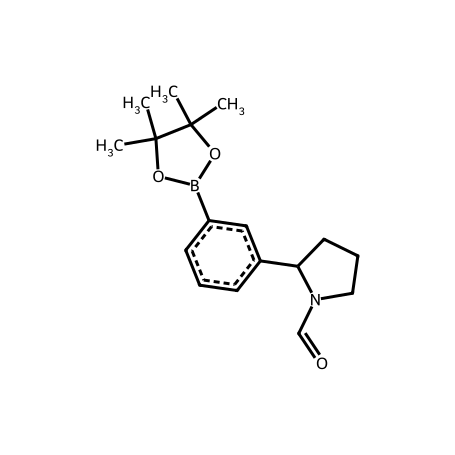 CC1(C)OB(c2cccc(C3CCCN3C=O)c2)OC1(C)C